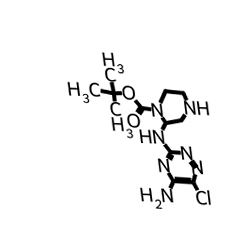 CC(C)(C)OC(=O)N1CCNCC1Nc1nnc(Cl)c(N)n1